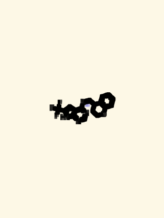 FC(F)(F)c1cc2c(/N=C\C3CCOc4ccccc43)ncnc2[nH]1